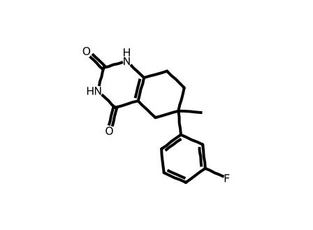 CC1(c2cccc(F)c2)CCc2[nH]c(=O)[nH]c(=O)c2C1